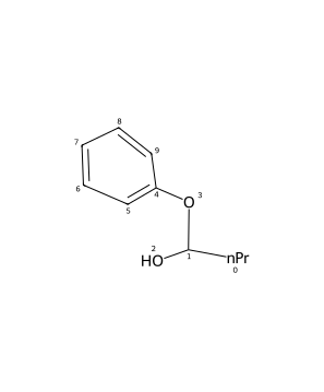 CCCC(O)Oc1ccccc1